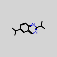 CC(C)c1ccc2nc(C(C)C)ncc2c1